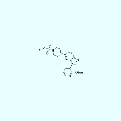 COc1ncccc1-c1cnn2ccc(N3CCN(S(=O)(=O)CC(C)C)CC3)nc12